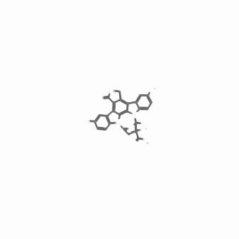 COC(=O)C1(O)CC2OC1(C)n1c3ccc(O)cc3c3c4c(c5c6cc(O)ccc6n2c5c31)C(=O)NC4